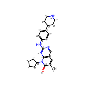 N#Cc1cc2cnc(Nc3ccc(C4CCNCC4)cc3)nc2n(C2CCCC2)c1=O